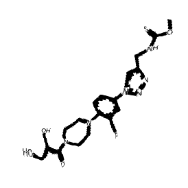 COC(=S)NCc1cn(-c2ccc(N3CCN(C(=O)C(O)CO)CC3)c(F)c2)nn1